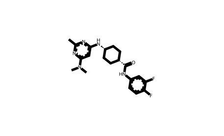 Cc1nc(N[C@H]2CC[C@@H](C(=O)Nc3ccc(F)c(F)c3)CC2)cc(N(C)C)n1